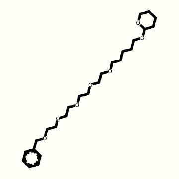 c1ccc(COCCOCCOCCOCCOCCCCCOC2CCCCO2)cc1